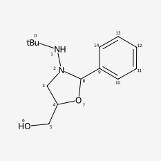 CC(C)(C)NN1CC(CO)OC1c1ccccc1